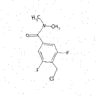 CN(C)C(=O)c1cc(F)c(CCl)c(F)c1